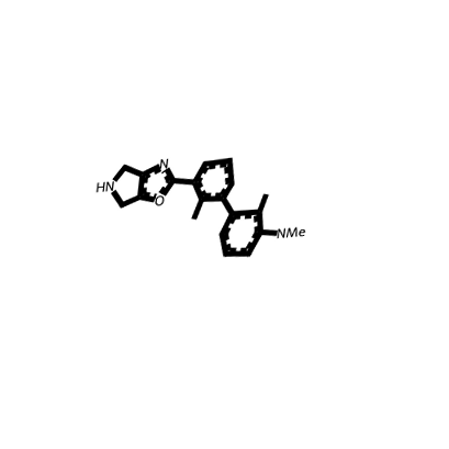 CNc1cccc(-c2cccc(-c3nc4c(o3)CNC4)c2C)c1C